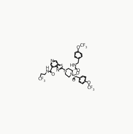 O=C(NCCC(F)(F)F)c1cncc2sc(N3CCN(S(=O)(=O)c4ccc(OC(F)(F)F)cc4)[C@@H](C(=O)NCc4ccc(OC(F)(F)F)cc4)C3)nc12